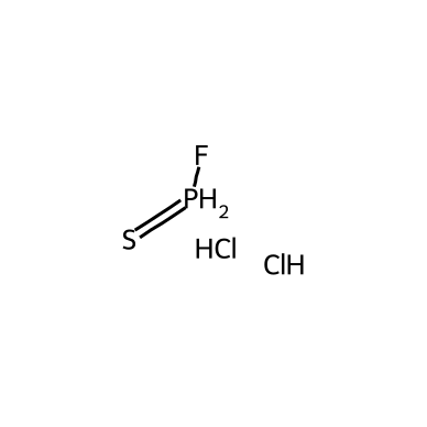 Cl.Cl.F[PH2]=S